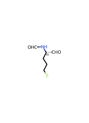 O=CN[C@H](C=O)CCCF